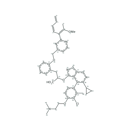 C=C/C=C\C(=C(/C)OC)c1nccc(COc2ccccc2CC(Oc2nsc3cnc(C4CC4)c(-c4ccc(OCCN(C)C)c(Cl)c4C)c23)C(=O)O)n1